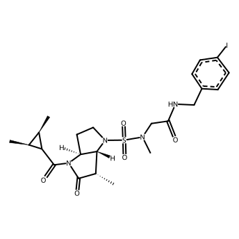 C[C@@H]1C(=O)N(C(=O)C2[C@@H](C)[C@H]2C)[C@H]2CCN(S(=O)(=O)N(C)CC(=O)NCc3ccc(I)cc3)[C@H]12